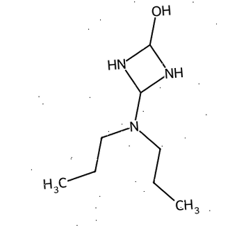 CCCN(CCC)C1NC(O)N1